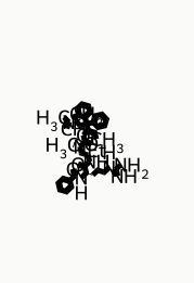 CC=C(OC(=O)N(C)CC(CC)NC(=O)[C@H](CCCNC(=N)N)NC(=O)c1ccccc1)C(CC(C)N(C)C)(c1ccccc1)c1ccccc1